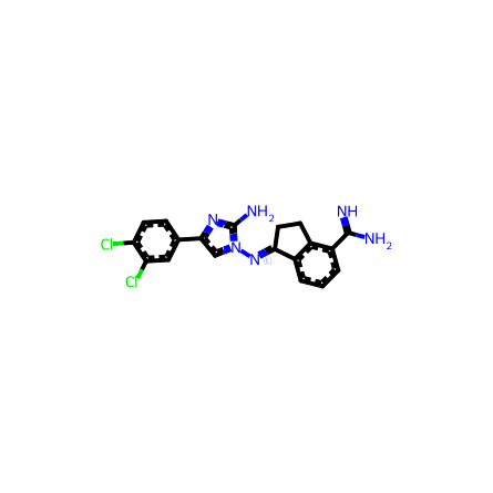 N=C(N)c1cccc2c1CC/C2=N\n1cc(-c2ccc(Cl)c(Cl)c2)nc1N